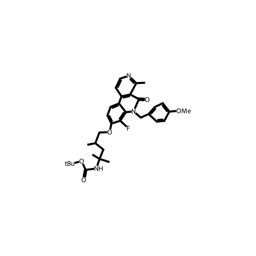 COc1ccc(Cn2c(=O)c3c(C)nccc3c3ccc(OCC(C)CC(C)(C)NC(=O)OC(C)(C)C)c(F)c32)cc1